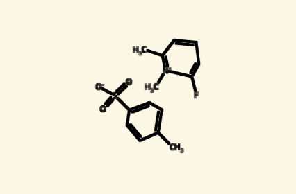 Cc1ccc(S(=O)(=O)[O-])cc1.Cc1cccc(F)[n+]1C